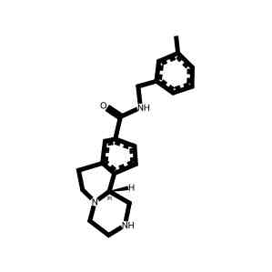 Cc1cccc(CNC(=O)c2ccc3c(c2)CCN2CCNC[C@@H]32)c1